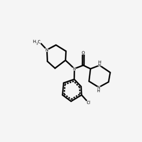 CN1CCC(N(C(=O)C2CNCCN2)c2cccc(Cl)c2)CC1